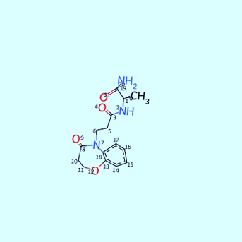 C[C@@H](NC(=O)CCN1C(=O)CCOc2ccccc21)C(N)=O